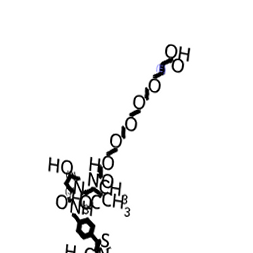 Cc1ncsc1-c1ccc(CNC(=O)[C@@H]2C[C@@H](O)CN2C(=O)C(NC(=O)COCCOCCOCCOCCOC/C=C/C(=O)O)C(C)(C)C)cc1